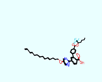 CCCCCCCCCCCCCCOc1cnc(-c2ccc(C(=O)O)c(-c3ccc(C(=O)OC(CCCC)C(F)(F)F)cc3)c2)nc1